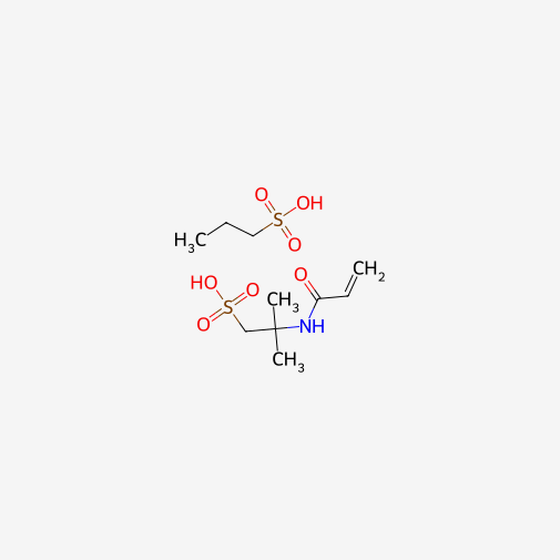 C=CC(=O)NC(C)(C)CS(=O)(=O)O.CCCS(=O)(=O)O